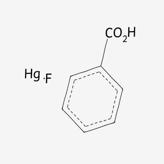 O=C(O)c1ccccc1.[F].[Hg]